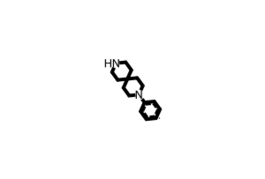 [c]1ccc(N2CCC3(CCNCC3)CC2)cc1